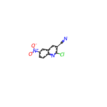 N#Cc1cc2cc([N+](=O)[O-])ccc2nc1Cl